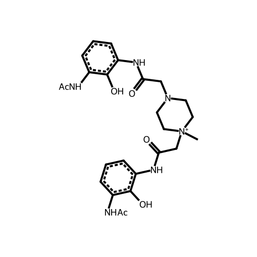 CC(=O)Nc1cccc(NC(=O)CN2CC[N+](C)(CC(=O)Nc3cccc(NC(C)=O)c3O)CC2)c1O